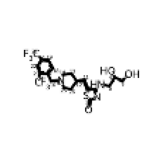 O=C1N=C(NCC(O)CO)C(=CC2CCN(Cc3ccc(C(F)(F)F)cc3C(F)(F)F)CC2)S1